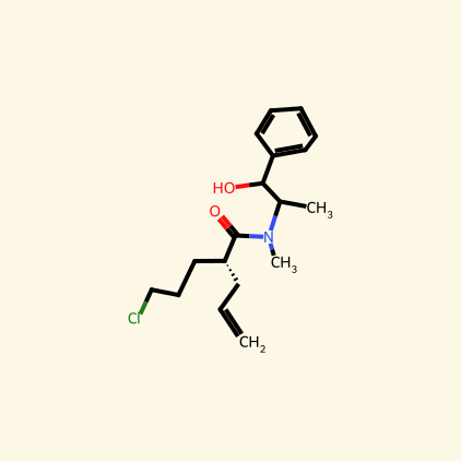 C=CC[C@H](CCCCl)C(=O)N(C)C(C)C(O)c1ccccc1